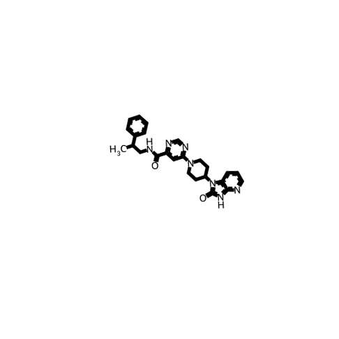 CC(CNC(=O)c1cc(N2CCC(n3c(=O)[nH]c4ncccc43)CC2)ncn1)c1ccccc1